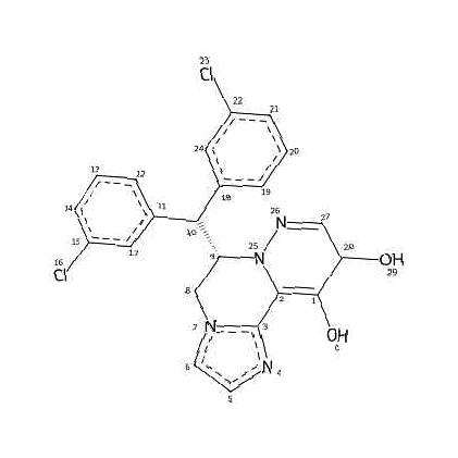 OC1=C2c3nccn3C[C@H](C(c3cccc(Cl)c3)c3cccc(Cl)c3)N2N=CC1O